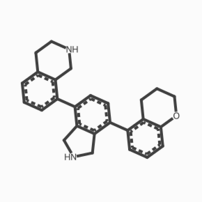 c1cc2c(c(-c3ccc(-c4cccc5c4CCCO5)c4c3CNC4)c1)CNCC2